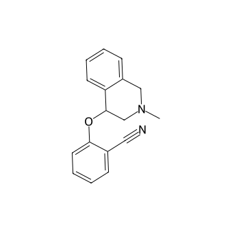 CN1Cc2ccccc2C(Oc2ccccc2C#N)C1